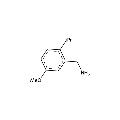 COc1ccc(C(C)C)c(CN)c1